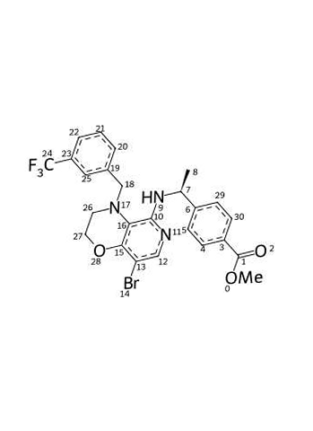 COC(=O)c1ccc([C@H](C)Nc2ncc(Br)c3c2N(Cc2cccc(C(F)(F)F)c2)CCO3)cc1